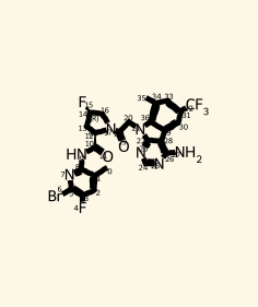 Cc1cc(F)c(Br)nc1NC(=O)[C@H]1C[C@@H](F)CN1C(=O)Cn1c2ncnc(N)c2c2cc(C(F)(F)F)cc(C)c21